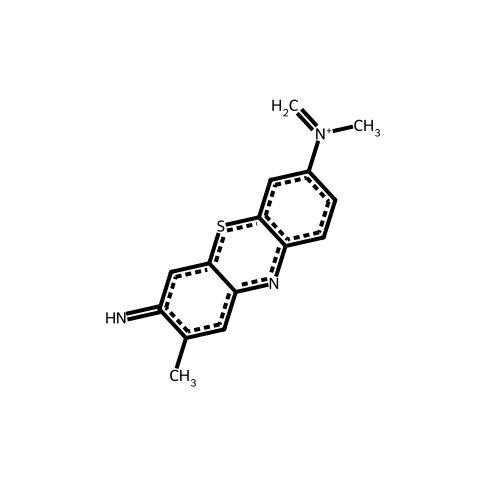 C=[N+](C)c1ccc2nc3cc(C)c(=N)cc-3sc2c1